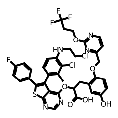 Cc1c(-c2c(-c3ccc(F)cc3)sc3ncnc(OC(Cc4cc(O)ccc4OCc4ccnc(OCCC(F)(F)F)n4)C(=O)O)c23)ccc(NCCCl)c1Cl